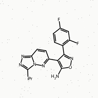 CC(C)c1nnc2ccc(-c3c(-c4ccc(F)cc4F)noc3N)nn12